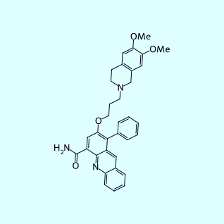 COc1cc2c(cc1OC)CN(CCCOc1cc(C(N)=O)c3nc4ccccc4cc3c1-c1ccccc1)CC2